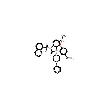 COc1ccc(OC)c(C2(N3CCN(c4ccncc4)CC3)C(=O)N(S(=O)(=O)c3cccc4cccnc34)c3ccc(OC)cc32)c1